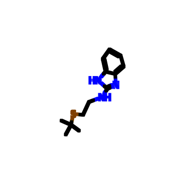 CC(C)(C)SCCNc1nc2ccccc2[nH]1